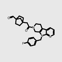 O=CC12CCC(CC(=O)N3CCc4c(n(Cc5ccc(F)cc5)c5ncccc45)C3)(CC1)C2